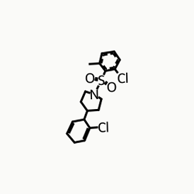 Cc1cccc(Cl)c1S(=O)(=O)N1CCC(C2C=CCC=C2Cl)CC1